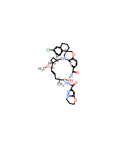 CO[C@H]1/C=C/C[C@H](C)C[S@@](=O)(NC(=O)c2cc3n(n2)CCCO3)=NC(=O)c2ccc3c(c2)N(C[C@@H]2CC[C@H]21)C[C@@]1(CCCc2cc(Cl)ccc21)CO3